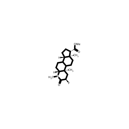 COC(=O)[C@H]1CC[C@H]2C3CC[C@H]4N(C)C(=O)[C@H](F)C[C@]4(C)C3CC[C@]12C